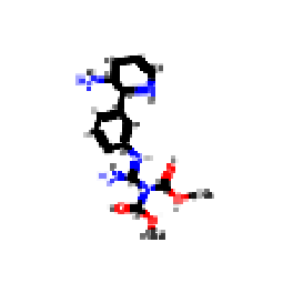 CC(C)(C)OC(=O)N(C(=O)OC(C)(C)C)/C(N)=N/c1cccc(-c2ncccc2N)c1